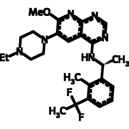 CCN1CCN(c2cc3c(N[C@H](C)c4cccc(C(C)(F)F)c4C)ncnc3nc2OC)CC1